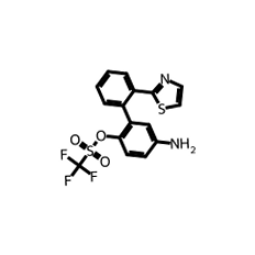 Nc1ccc(OS(=O)(=O)C(F)(F)F)c(-c2ccccc2-c2nccs2)c1